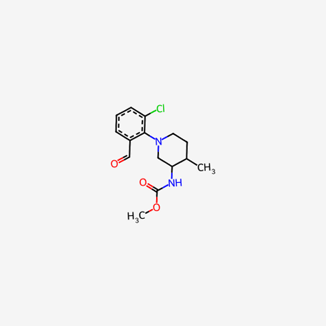 COC(=O)NC1CN(c2c(Cl)cccc2C=O)CCC1C